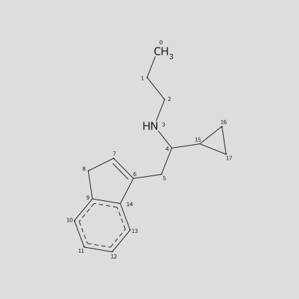 CCCNC(CC1=CCc2ccccc21)C1CC1